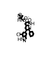 O=c1[nH]c2nc(-c3ccccc3)c(-c3cc(Cl)c4[nH]ncc4c3)cc2cc1[S+]([O-])Nc1cnoc1